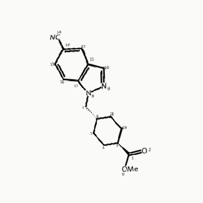 COC(=O)[C@H]1CC[C@H](Cn2ncc3cc(C#N)ccc32)CC1